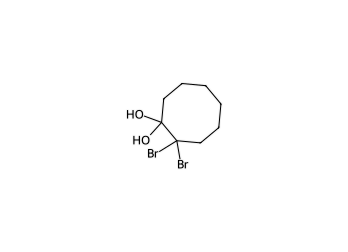 OC1(O)CCCCCCC1(Br)Br